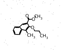 CCCOc1c(C(=O)OC)cc2ccccc2c1C